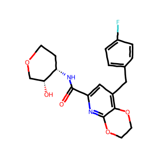 O=C(N[C@H]1CCOC[C@H]1O)c1cc(Cc2ccc(F)cc2)c2c(n1)OCCO2